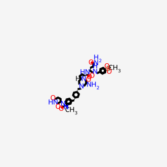 Cn1c(=O)n(C2CCC(=O)NC2=O)c2ccc(C[C@H]3CC[C@@H](CCN4CC[C@H]5CC[C@@H](C(=O)N[C@@H](CCC(N)=O)C(=O)NCc6ccc(S(C)(=O)=O)cc6)N5C(=O)[C@@H](N)C4)CC3)cc21